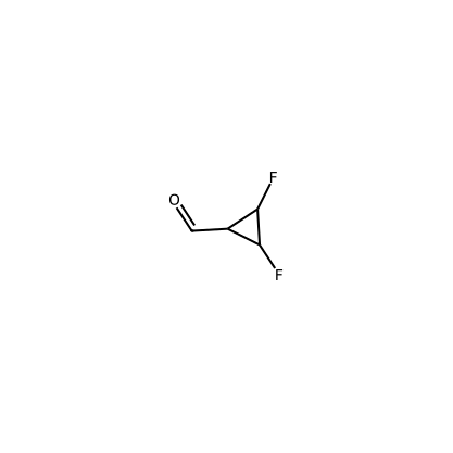 O=CC1C(F)C1F